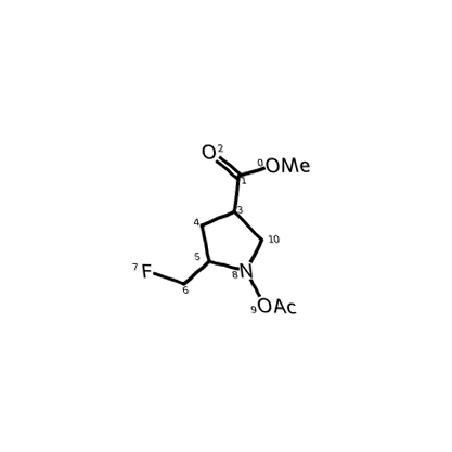 COC(=O)C1CC(CF)N(OC(C)=O)C1